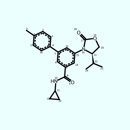 Cc1ccc(-c2cc(C(=O)NC3CC3)cc(N3C(=O)OC[C@H]3C(C)C)c2)cc1